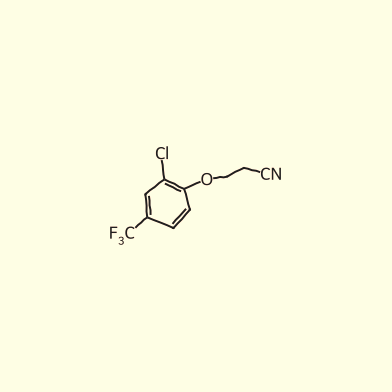 N#CCCOc1ccc(C(F)(F)F)cc1Cl